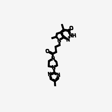 Cc1cnc(N2CCN(C(=O)CCCN3c4n[nH]c(=O)c(C)c4CC3C)CC2)nc1